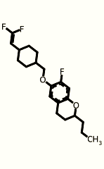 CCCC1CCc2cc(OCC3CCC(C=C(F)F)CC3)c(F)cc2O1